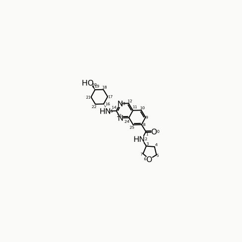 O=C(NC1CCOC1)c1ccc2cnc(N[C@H]3CC[C@H](O)CC3)nc2c1